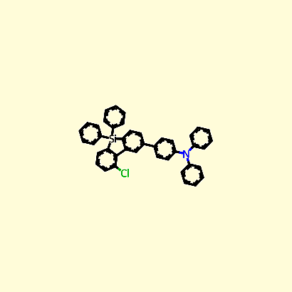 Clc1cccc2c1-c1cc(-c3ccc(N(c4ccccc4)c4ccccc4)cc3)ccc1[Si]2(c1ccccc1)c1ccccc1